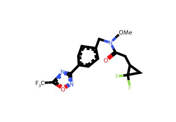 CON(Cc1ccc(-c2noc(C(F)(F)F)n2)cc1)C(=O)CC1CC1(F)F